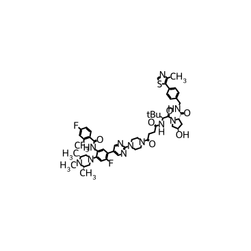 Cc1ncsc1-c1ccc(CNC(=O)[C@@H]2C[C@@H](O)CN2C(=O)[C@@H](NC(=O)CCC(=O)N2CCN(c3ncc(-c4cc(NC(=O)c5ccc(F)cc5C(F)(F)F)c(N5C[C@@H](C)N(C)[C@@H](C)C5)cc4F)cn3)CC2)C(C)(C)C)cc1